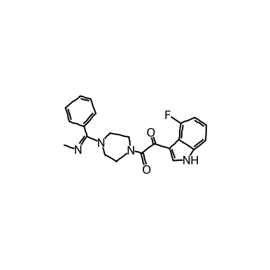 CN=C(c1ccccc1)N1CCN(C(=O)C(=O)c2c[nH]c3cccc(F)c23)CC1